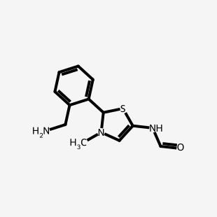 CN1C=C(NC=O)SC1c1ccccc1CN